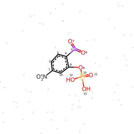 O=[N+]([O-])c1ccc(I(=O)=O)c(OP(=O)(O)O)c1